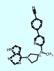 CN(c1ccc(-c2ccc(C#N)cc2)cn1)[C@@H]1CCN(c2ncnc3[nH]ccc23)C1